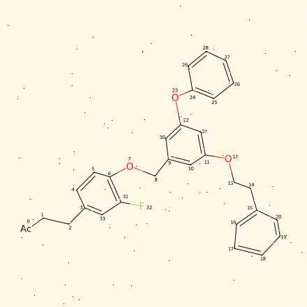 CC(=O)CCc1ccc(OCc2cc(OCCc3ccccc3)cc(Oc3ccccc3)c2)c(F)c1